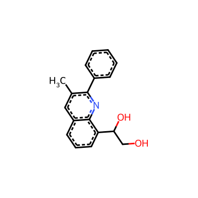 Cc1cc2cccc(C(O)CO)c2nc1-c1ccccc1